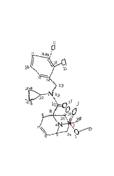 COC(=O)N1C2C=CCC1(C(=O)N(Cc1cccc(Cl)c1Cl)C1CC1)C(=O)N(C)C2